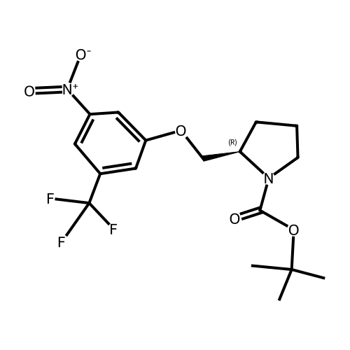 CC(C)(C)OC(=O)N1CCC[C@@H]1COc1cc([N+](=O)[O-])cc(C(F)(F)F)c1